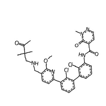 COc1nc(-c2cccc(-c3cccc(NC(=O)c4ccnn(C)c4=O)c3Cl)c2Cl)ccc1CNCC(C)(C)C(C)=O